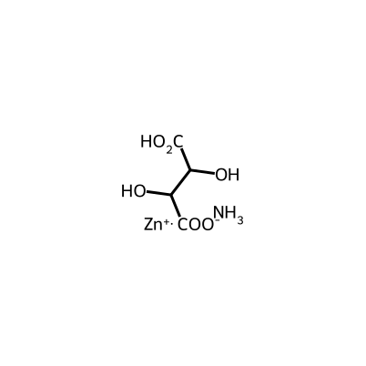 N.O=C([O-])C(O)C(O)C(=O)O.[Zn+]